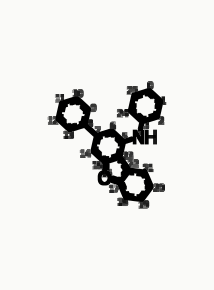 c1ccc(Nc2cc(-c3ccccc3)cc3oc4ccccc4c23)cc1